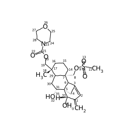 C=C1C=C2C[C@]3(C2[C@]2(COS(C)(=O)=O)CCC[C@@](C)(COC(=O)N4CCOCC4)C2C[C@H]3O)[C@H]1O